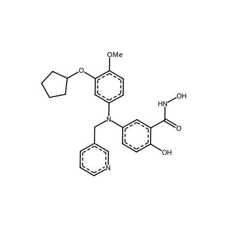 COc1ccc(N(Cc2cccnc2)c2ccc(O)c(C(=O)NO)c2)cc1OC1CCCC1